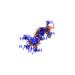 CC(C)[C@H](NC(=O)[C@H](Cc1c[nH]cn1)NC(=O)[C@H](CCCNC(=N)N)NC(=O)[C@H](CCCNC(=N)N)NC(=O)[C@@H](N)CCCNC(=N)N)C(=O)N[C@@H](Cc1c[nH]cn1)C(=O)N[C@H](C(=O)N[C@H](C(=O)N[C@@H](Cc1c[nH]c2ccccc12)C(=O)N[C@@H](CCCCN)C(=O)O)C(C)C)C(C)C